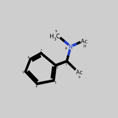 CC(=O)C(c1ccccc1)N(C)C(C)=O